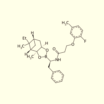 CCC1(C)[C@@H]2C[C@H]3OB([C@H](Cc4ccccc4)NC(=O)CCOc4cc(C)ccc4F)O[C@@]3(C)[C@H]1C2